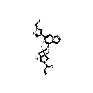 C=CC(=O)N1C[C@@H]2C[C@@](C)(Oc3nc(-c4cnn(CI)c4)cn4nccc34)[C@@H]2C1